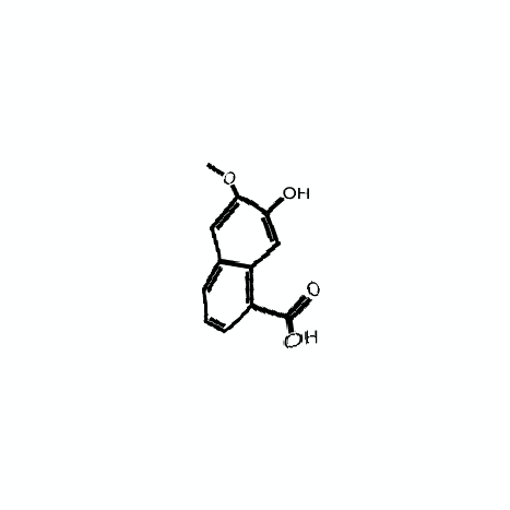 COc1cc2cccc(C(=O)O)c2cc1O